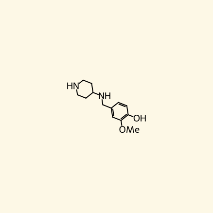 COc1cc(CNC2CCNCC2)ccc1O